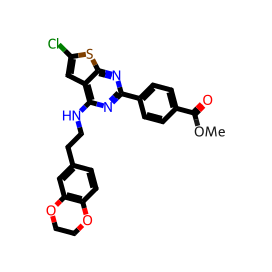 COC(=O)c1ccc(-c2nc(NCCc3ccc4c(c3)OCCO4)c3cc(Cl)sc3n2)cc1